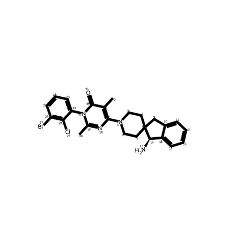 Cc1c(N2CCC3(CC2)Cc2ccccc2[C@H]3N)nc(C)n(-c2cccc(Br)c2Cl)c1=O